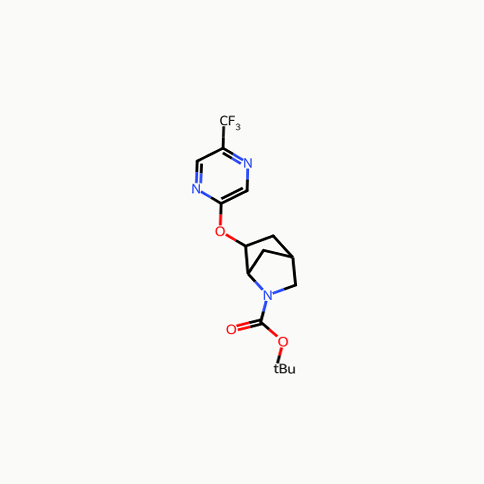 CC(C)(C)OC(=O)N1CC2CC(Oc3cnc(C(F)(F)F)cn3)C1C2